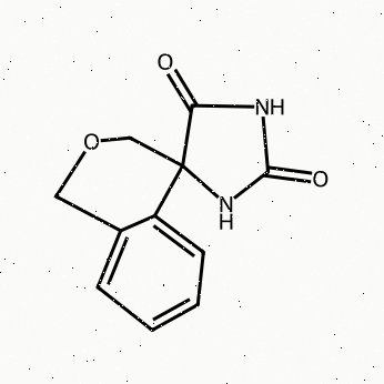 O=C1NC(=O)C2(COCc3ccccc32)N1